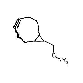 NOCC1C2CCC#CCCC21